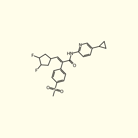 CS(=O)(=O)c1ccc(/C(=C\C2CC(F)C(F)C2)C(=O)Nc2ccc(C3CC3)cn2)cc1